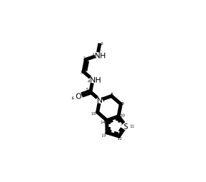 CN/C=C\NC(=O)N1CCc2sccc2C1